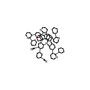 N#Cc1cccc(-c2cc(-n3c4cc(-c5cccnc5-c5ccccc5)ccc4c4ccc(-c5cccnc5-c5ccccc5)cc43)c(-n3c4cc(-c5cccnc5-c5ccccc5)ccc4c4ccc(-c5cccnc5-c5ccccc5)cc43)cc2C#N)c1